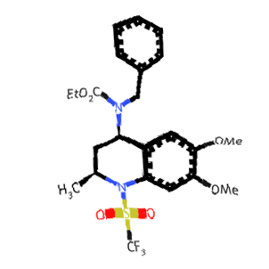 CCOC(=O)N(Cc1ccccc1)[C@@H]1C[C@H](C)N(S(=O)(=O)C(F)(F)F)c2cc(OC)c(OC)cc21